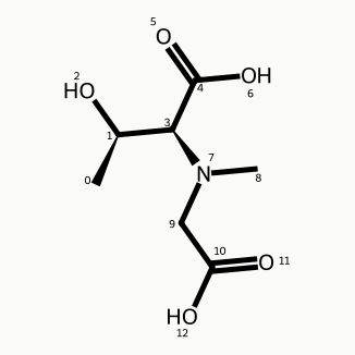 C[C@@H](O)[C@@H](C(=O)O)N(C)CC(=O)O